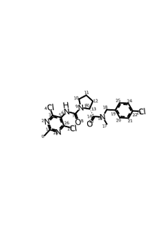 Cc1nc(Cl)c(NC(=O)N2CCC[C@@H]2C(=O)N(C)Cc2ccc(Cl)cc2)c(Cl)n1